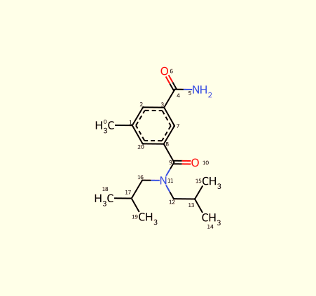 Cc1cc(C(N)=O)cc(C(=O)N(CC(C)C)CC(C)C)c1